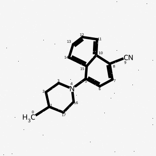 CC1CCN(c2ccc(C#N)c3ccccc23)CC1